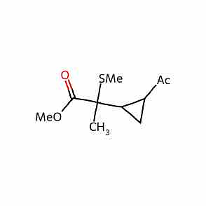 COC(=O)C(C)(SC)C1CC1C(C)=O